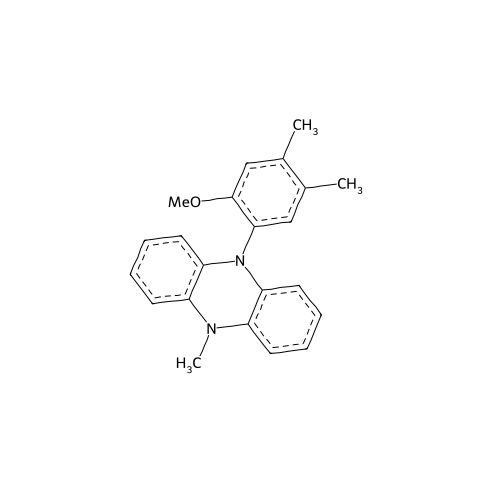 COc1cc(C)c(C)cc1N1c2ccccc2N(C)c2ccccc21